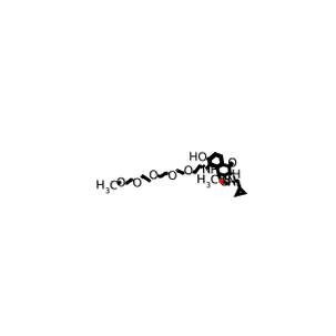 COCCOCCOCCOCCOCCNc1c(O)ccc2c1[C@]1(C)CCN(CC3CC3)[C@H](C2=O)[C@@H]1C